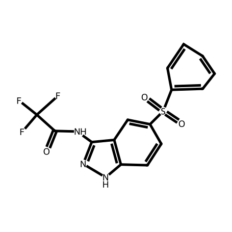 O=C(Nc1n[nH]c2ccc(S(=O)(=O)c3ccccc3)cc12)C(F)(F)F